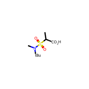 CC(C(=O)O)S(=O)(=O)N(C)C(C)(C)C